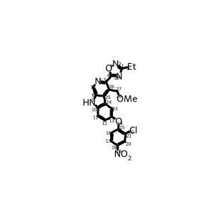 CCc1noc(-c2ncc3[nH]c4ccc(Oc5ccc([N+](=O)[O-])cc5Cl)cc4c3c2COC)n1